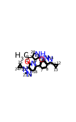 CC(Oc1nc(-c2ccc3c(C4CC4)n[nH]c3c2)cc2ncn(C3CC3)c12)[C@H]1CNC(=O)C1